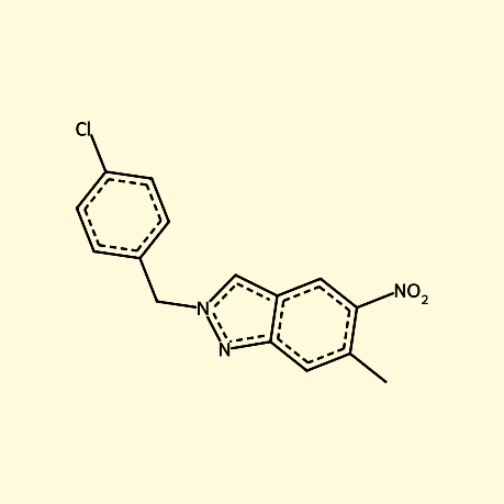 Cc1cc2nn(Cc3ccc(Cl)cc3)cc2cc1[N+](=O)[O-]